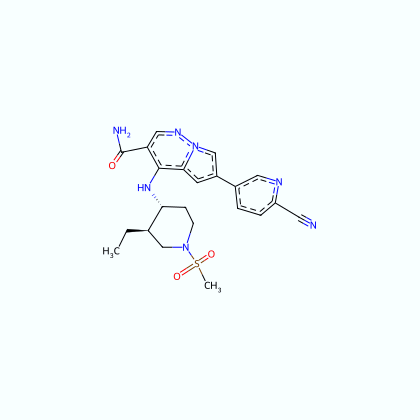 CC[C@@H]1CN(S(C)(=O)=O)CC[C@H]1Nc1c(C(N)=O)cnn2cc(-c3ccc(C#N)nc3)cc12